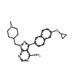 CN1CCC(Cn2nc(-c3ccc4cc(OC5CC5)ccc4c3)c3c(N)ncnc32)CC1